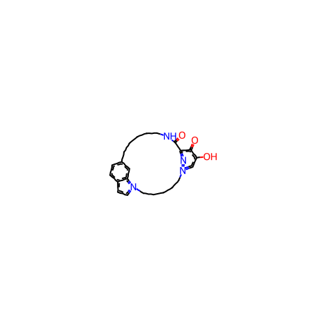 O=C1NCCCCCc2ccc3ccn(c3c2)CCCCCn2cc(O)c(=O)c1n2